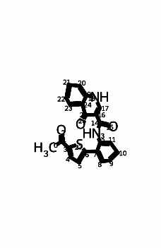 CC(=O)c1ccc(-c2ccccc2NC(=O)c2c[nH]c3ccccc3c2=O)s1